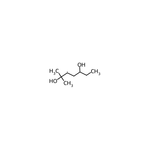 CCC(O)C[CH]C(C)(C)O